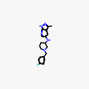 Cc1n[nH]c2ncc(NC3CCCN(Cc4ccc(F)cc4)C3)cc12